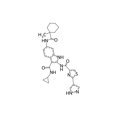 CC1(C(=O)Nc2ccc3c(C(=O)NC4CC4)c(NC(=O)c4csc(-c5cn[nH]c5)n4)[nH]c3c2)CCCCC1